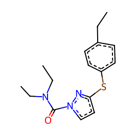 CCc1ccc(Sc2ccn(C(=O)N(CC)CC)n2)cc1